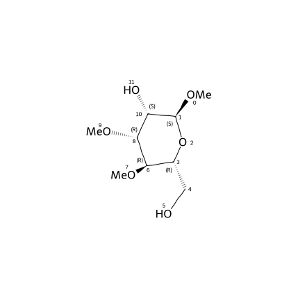 CO[C@H]1O[C@H](CO)[C@@H](OC)[C@H](OC)[C@@H]1O